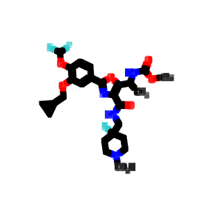 CC(NC(=O)OC(C)(C)C)c1oc(-c2ccc(OC(F)F)c(OCC3CC3)c2)nc1C(=O)NCC1(F)CCN(C(=O)O)CC1